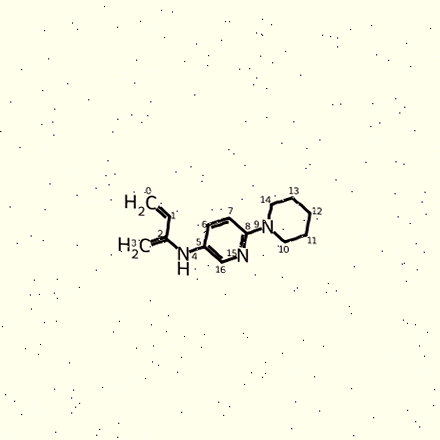 C=CC(=C)Nc1ccc(N2CCCCC2)nc1